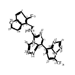 Fc1ccc2c(c1CNc1ncc(-c3ccc(C(F)(F)F)n4ncnc34)c3nncn13)CCO2